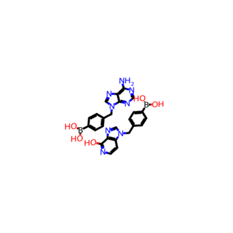 Nc1ncnc2c1ncn2Cc1ccc(B(O)O)cc1.OB(O)c1ccc(Cn2cnc3c(O)nccc32)cc1